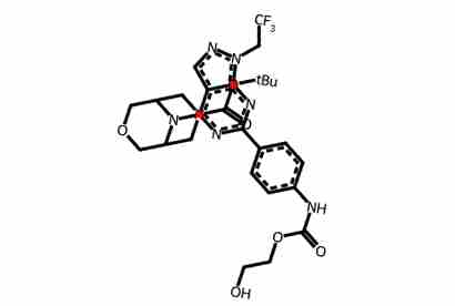 CC(C)(C)OC(=O)N1CC2COCC(C1)N2c1nc(-c2ccc(NC(=O)OCCO)cc2)nc2c1cnn2CC(F)(F)F